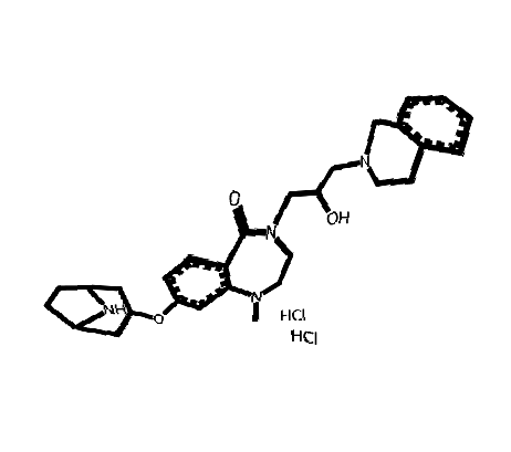 CN1CCN(CC(O)CN2CCc3ccccc3C2)C(=O)c2ccc(OC3CC4CCC(C3)N4)cc21.Cl.Cl